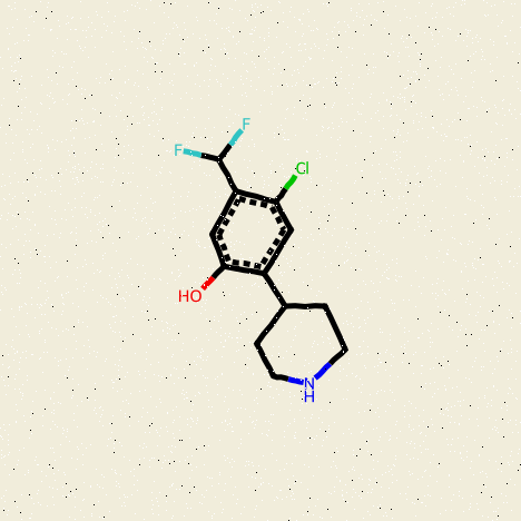 Oc1cc(C(F)F)c(Cl)cc1C1CCNCC1